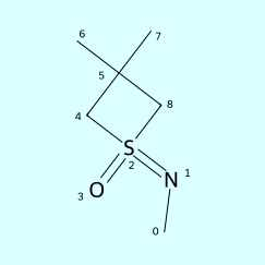 CN=S1(=O)CC(C)(C)C1